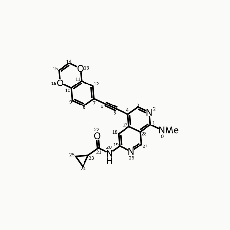 CNc1ncc(C#Cc2ccc3c(c2)OC=CO3)c2cc(NC(=O)C3CC3)ncc12